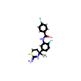 CC1(c2ccc(F)c(NC(=O)c3ccc(F)cc3)c2)CCSC(N)=N1